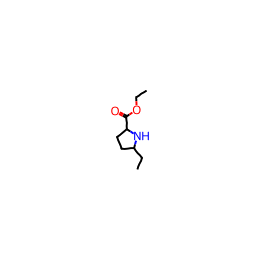 CCOC(=O)C1CCC(CC)N1